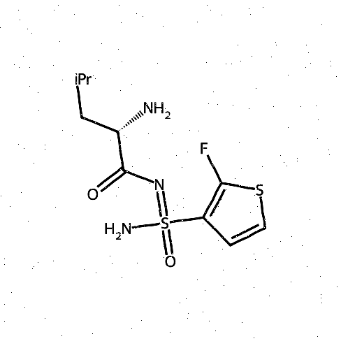 CC(C)C[C@H](N)C(=O)N=S(N)(=O)c1ccsc1F